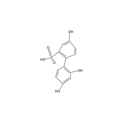 O=S(=O)(O)c1cc(O)ccc1-c1ccc(O)cc1O